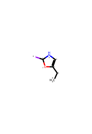 CCC1=CNC(I)O1